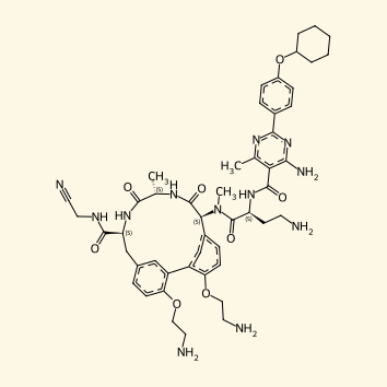 Cc1nc(-c2ccc(OC3CCCCC3)cc2)nc(N)c1C(=O)N[C@@H](CCN)C(=O)N(C)[C@@H]1C(=O)N[C@@H](C)C(=O)N[C@H](C(=O)NCC#N)Cc2ccc(OCCN)c(c2)-c2cc1ccc2OCCN